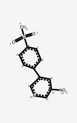 CS(=O)(=O)c1ccc(-c2cncc([N+](=O)[O-])c2)cc1